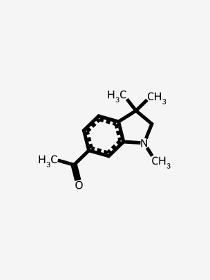 CC(=O)c1ccc2c(c1)N(C)CC2(C)C